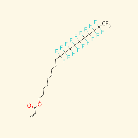 C=CC(=O)OCCCCCCCCCC(F)(F)C(F)(F)C(F)(F)C(F)(F)C(F)(F)C(F)(F)C(F)(F)C(F)(F)C(F)(F)C(F)(F)F